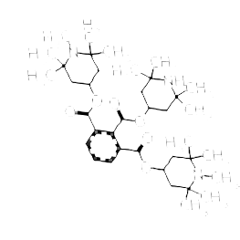 CN1C(C)(C)CC(OC(=O)c2cccc(C(=O)OC3CC(C)(C)N(C)C(C)(C)C3)c2C(=O)OC2CC(C)(C)NC(C)(C)C2)CC1(C)C